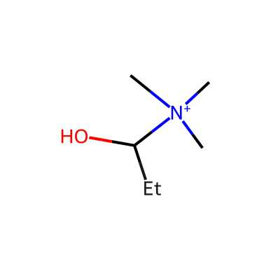 [CH2]CC(O)[N+](C)(C)C